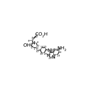 C/C=C(\C=C/N(C=O)C(C)C#CC(=O)O)Cc1ccc(Nc2ncnc3ccc(N)cc23)cc1